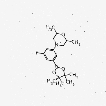 CC1CN(c2cc(F)cc(B3OC(C)(C)C(C)(C)O3)c2)CC(C)O1